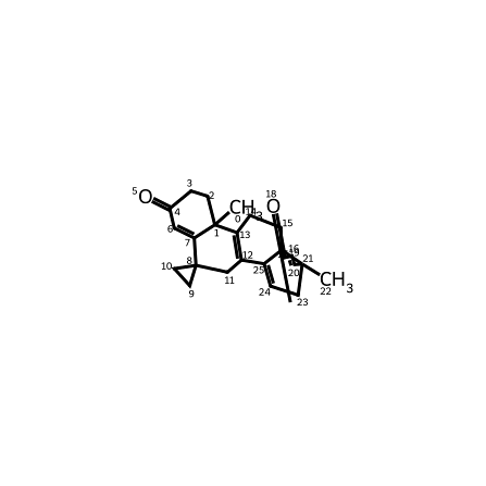 CC12CCC(=O)C=C1C1(CC1)CC1=C2CCC23C(=O)C=CC2(C)CC=C13